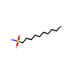 CC(C)CCCCCCCCCS([NH])(=O)=O